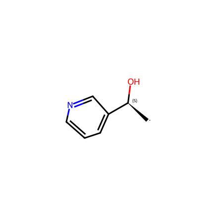 [CH2][C@H](O)c1cccnc1